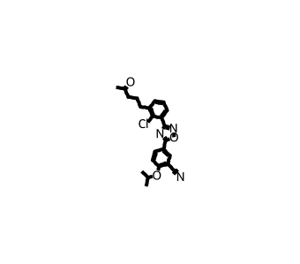 CC(=O)CCCc1cccc(-c2noc(-c3ccc(OC(C)C)c(C#N)c3)n2)c1Cl